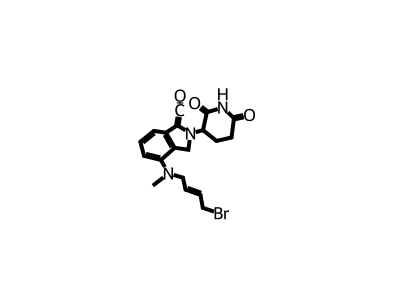 CN(CC=CCBr)c1cccc2c1CN(C1CCC(=O)NC1=O)C2=C=O